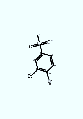 CCc1cc(S(C)(=O)=O)ccc1Br